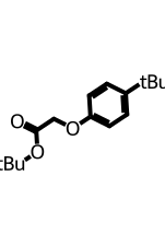 CC(C)(C)OC(=O)COc1ccc(C(C)(C)C)cc1